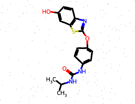 CC(C)NC(=O)Nc1ccc(Oc2nc3ccc(O)cc3s2)cc1